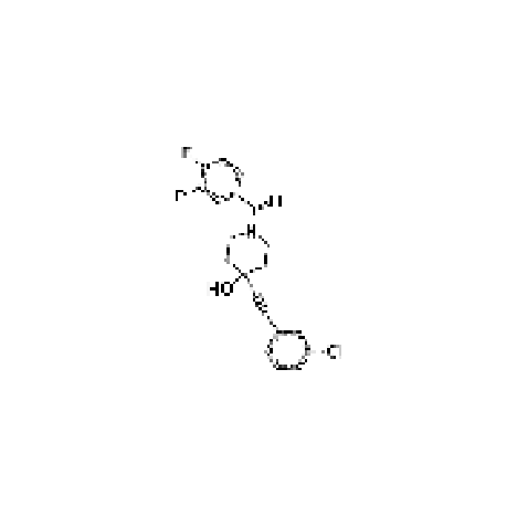 O=C(c1ccc(F)c(F)c1)N1CCC(O)(C#Cc2cccc(Cl)c2)CC1